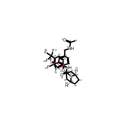 CC(=O)NCc1ccc(O[C@H]2C[C@H]3CC[C@@H](C2)N3C(=O)Nc2ccc(C(F)(F)F)cc2)c(C(F)(F)F)c1